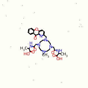 CC(NC(=O)CN1CCN(C)CCN(CC(=O)NC(C)C(=O)O)CCN(Cc2ccc3oc4ccccc4c(=O)c3n2)CC1)C(=O)O